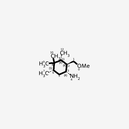 COC[C@H]1[C@H](N)C[C@H](C)C(C)(C)[C@@H]1C